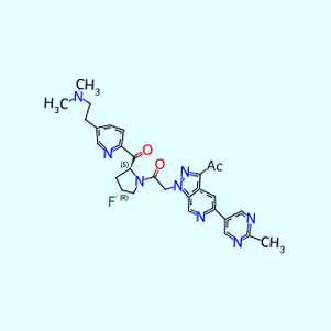 CC(=O)c1nn(CC(=O)N2C[C@H](F)C[C@H]2C(=O)c2ccc(CCN(C)C)cn2)c2cnc(-c3cnc(C)nc3)cc12